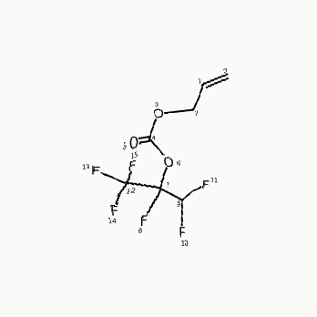 C=CCOC(=O)OC(F)(C(F)F)C(F)(F)F